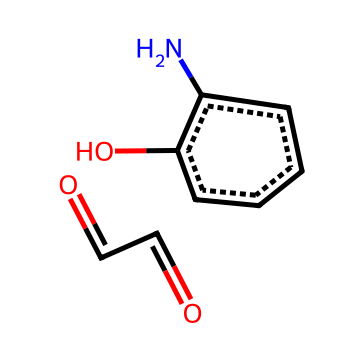 Nc1ccccc1O.O=CC=O